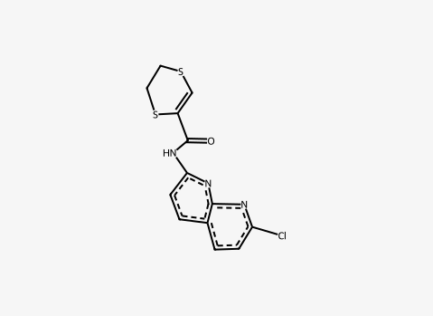 O=C(Nc1ccc2ccc(Cl)nc2n1)C1=CSCCS1